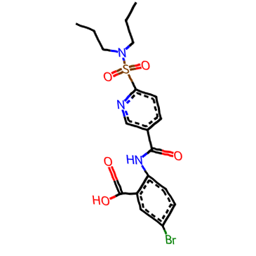 CCCN(CCC)S(=O)(=O)c1ccc(C(=O)Nc2ccc(Br)cc2C(=O)O)cn1